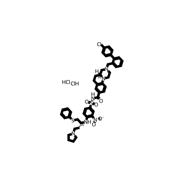 Cl.Cl.O=C(NS(=O)(=O)c1ccc(N[C@H](CCN2CCCC2)CSc2ccccc2)c([N+](=O)[O-])c1)c1ccc2c(c1)CC[C@@H]1CN(Cc3ccccc3-c3ccc(Cl)cc3)CCN21